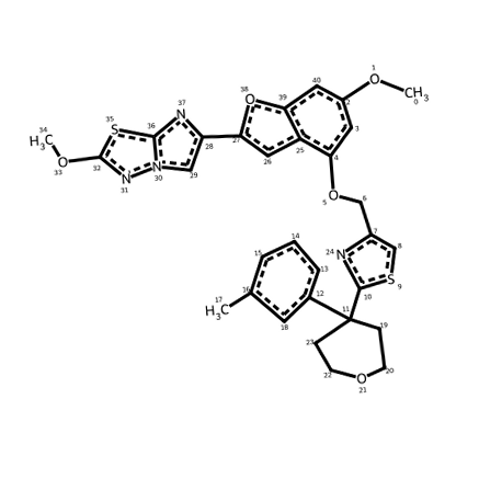 COc1cc(OCc2csc(C3(c4cccc(C)c4)CCOCC3)n2)c2cc(-c3cn4nc(OC)sc4n3)oc2c1